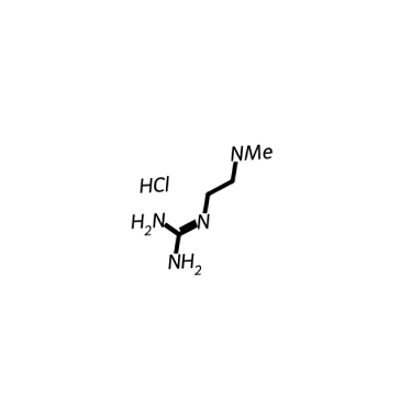 CNCCN=C(N)N.Cl